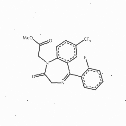 COC(=O)CN1C(=O)CN=C(c2ccccc2F)c2cc(C(F)(F)F)ccc21